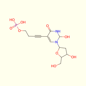 O=C1NC(O)N(C2CC(O)C(CO)O2)C=C1C#CCCOP(=O)(O)O